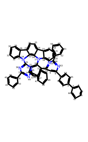 c1ccc(-c2ccc(-c3cc(-c4ccccc4-n4c5ccccc5c5ccc6c7ccccc7n(-c7nc(-c8ccccc8)nc(-c8ccccc8)n7)c6c54)nc(-c4ccccc4)n3)cc2)cc1